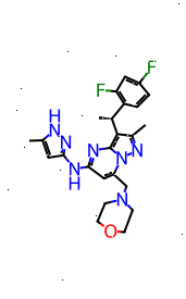 Cc1cc(Nc2cc(CN3CCOCC3)n3nc(C)c([C@@H](C)c4ccc(F)cc4F)c3n2)n[nH]1